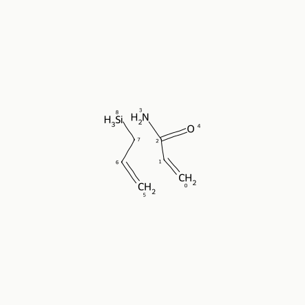 C=CC(N)=O.C=CC[SiH3]